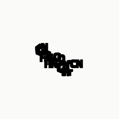 CC(C)CC(NC(=O)NCc1ccccn1)C(=O)NCC#N